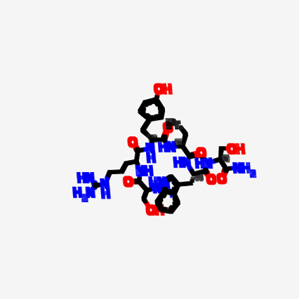 CC(C)C[C@H](NC(=O)[C@H](Cc1ccc(O)cc1)NC(=O)C(CCCNC(=N)N)NC(=O)C(N)CO)C(=O)N[C@@H](Cc1c[nH]c2ccccc12)C(=O)N[C@@H](CO)C(N)=O